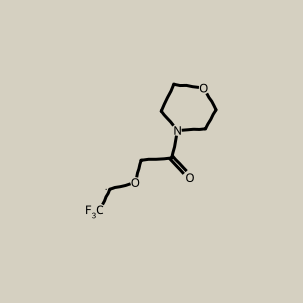 O=C(CO[CH]C(F)(F)F)N1CCOCC1